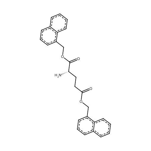 N[C@@H](CCC(=O)OCc1cccc2ccccc12)C(=O)OCc1cccc2ccccc12